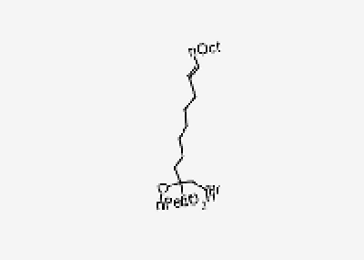 CCCCCCCCC=CCCCCCCC(CC(C)C)(OCCCCC)C(=O)O